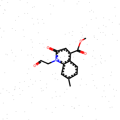 COC(=O)c1cc(=O)n(CC=O)c2cc(C)ccc12